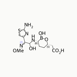 CO/N=C(/c1csc(N)n1)C(O)N[C@H]1CC[C@@H](CC(=O)O)OB1O